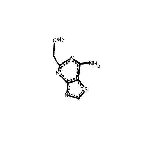 COCc1nc(N)c2s[c]nc2n1